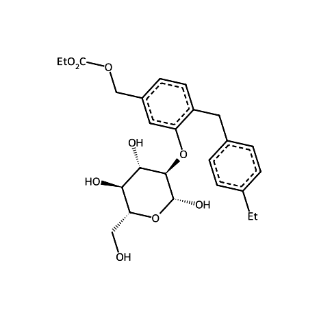 CCOC(=O)OCc1ccc(Cc2ccc(CC)cc2)c(O[C@@H]2[C@@H](O)[C@H](O)[C@@H](CO)O[C@H]2O)c1